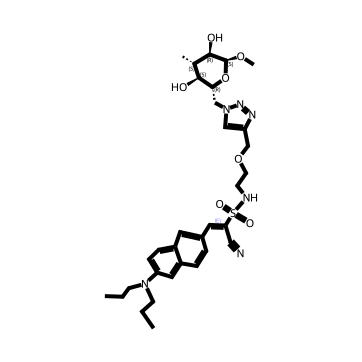 CCCN(CCC)c1ccc2cc(/C=C(\C#N)S(=O)(=O)NCCOCc3cn(C[C@H]4O[C@H](OC)[C@H](O)[C@@H](C)[C@@H]4O)nn3)ccc2c1